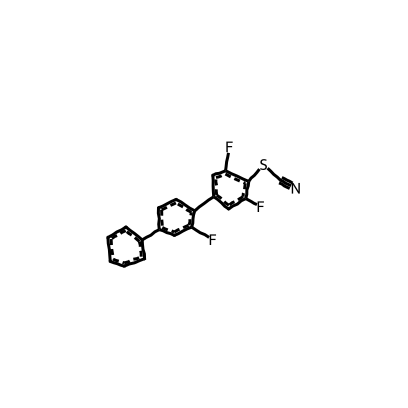 N#CSc1c(F)cc(-c2ccc(-c3ccccc3)cc2F)cc1F